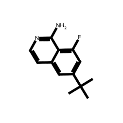 CC(C)(C)c1cc(F)c2c(N)nccc2c1